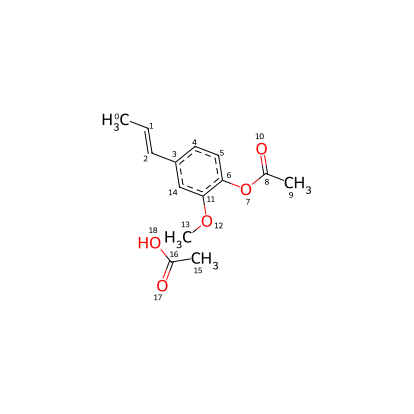 C/C=C/c1ccc(OC(C)=O)c(OC)c1.CC(=O)O